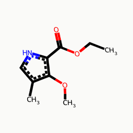 CCOC(=O)c1[nH]cc(C)c1OC